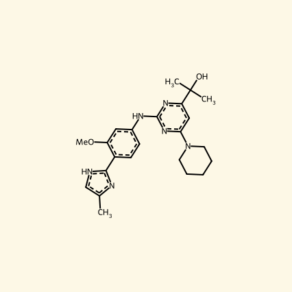 COc1cc(Nc2nc(N3CCCCC3)cc(C(C)(C)O)n2)ccc1-c1nc(C)c[nH]1